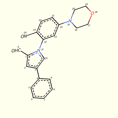 O=Cc1cc(-c2ccccc2)cn1-c1cc(N2CCOCC2)ccc1N=O